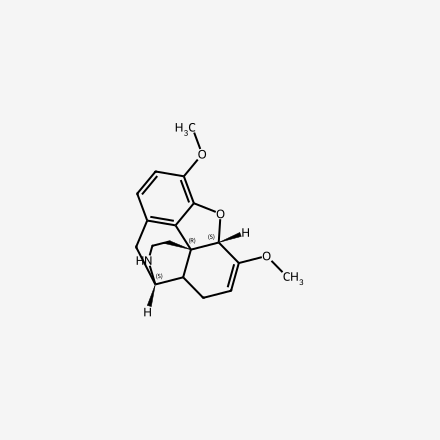 COC1=CCC2[C@@H]3Cc4ccc(OC)c5c4[C@]2(CCN3)[C@@H]1O5